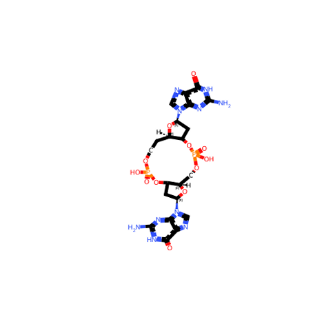 Nc1nc2c(ncn2[C@H]2CC3OP(=O)(O)OC[C@H]4O[C@@H](n5cnc6c(=O)[nH]c(N)nc65)CC4OP(=O)(O)OCC[C@H]3O2)c(=O)[nH]1